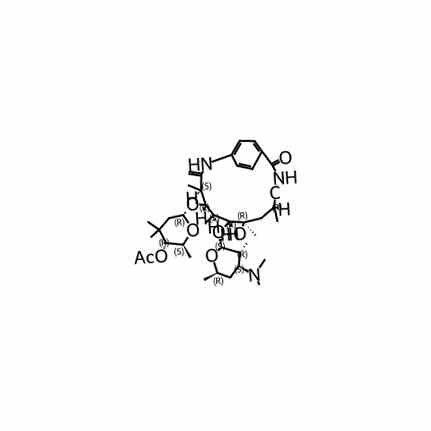 C=C1Nc2ccc(cc2)C(=O)NC[C@H](C)C[C@@](C)(O)[C@H](O[C@@H]2O[C@H](C)C[C@H](N(C)C)[C@H]2C)[C@@H](C)[C@H](O[C@H]2CC(C)(C)[C@@H](OC(C)=O)[C@H](C)O2)[C@H]1C